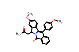 COc1ccc(-c2c3n(c(=O)c4ccccc24)C(CC(C)=O)c2cc(OC)ccc2-3)cc1